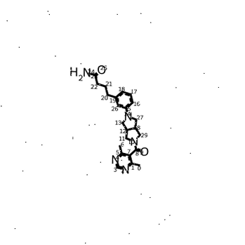 Cc1ncnc(C)c1C(=O)N1CC2CN(c3cccc(CCCC(N)=O)c3)CC2C1